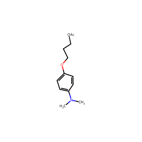 CC(=O)OCCCOc1ccc(N(C)C)cc1